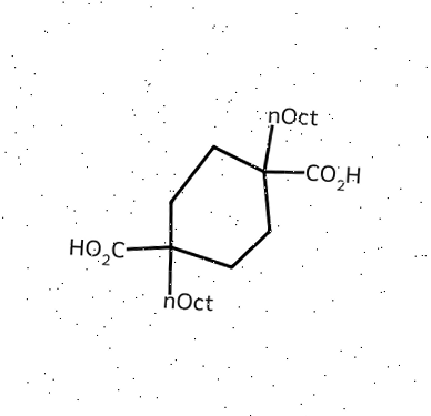 CCCCCCCCC1(C(=O)O)CCC(CCCCCCCC)(C(=O)O)CC1